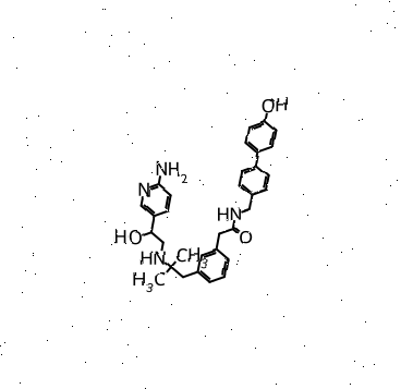 CC(C)(Cc1cccc(CC(=O)NCc2ccc(-c3ccc(O)cc3)cc2)c1)NCC(O)c1ccc(N)nc1